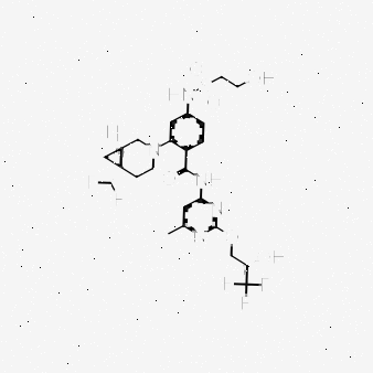 Cc1cc(NC(=O)c2ccc(NS(=O)(=O)CCO)cc2N2CC[C@@]3(C(F)F)C[C@H]3C2)nc(OC[C@H](O)C(F)(F)F)n1